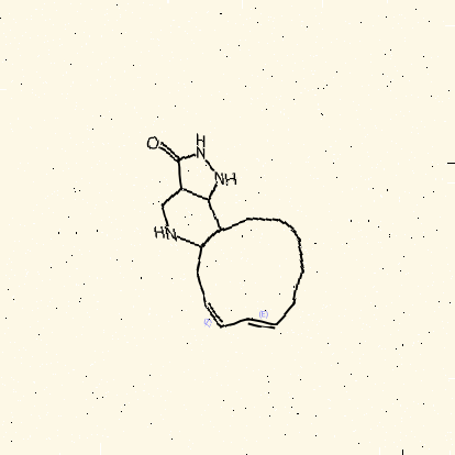 O=C1NNC2C1CNC1C/C=C\C=C\CCCCCC12